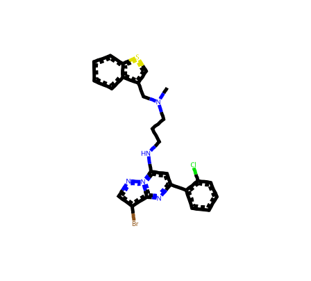 CN(CCCNc1cc(-c2ccccc2Cl)nc2c(Br)cnn12)Cc1csc2ccccc12